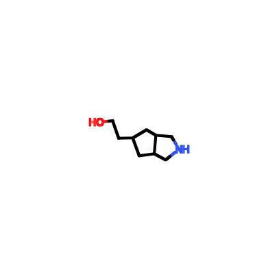 OCCC1CC2CNCC2C1